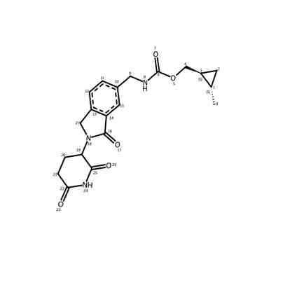 C[C@H]1C[C@@H]1COC(=O)NCc1ccc2c(c1)C(=O)N(C1CCC(=O)NC1=O)C2